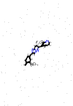 Cc1ccc(-c2cn3nc(-c4cccnc4C(F)(F)F)ccc3n2)cc1[N+](=O)[O-]